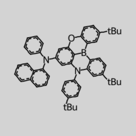 CC(C)(C)c1ccc(N2c3cc(C(C)(C)C)ccc3B3c4cc(C(C)(C)C)ccc4Oc4cc(N(c5ccccc5)c5cccc6ccccc56)cc2c43)cc1